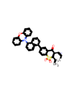 C=CC1=C(/C=C\C)C(=O)c2cc(-c3cccc4c(N5c6ccccc6Oc6ccccc65)cccc34)ccc2S1(=O)=O